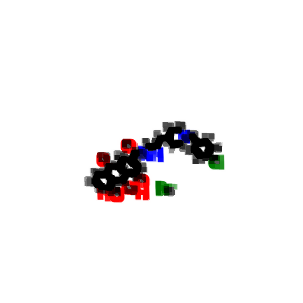 O=C(NCCCc1cc[n+](Cc2ccc(Cl)cc2)cc1)c1cc(O)c2c(c1)C(=O)c1cccc(O)c1C2=O.[Br-]